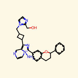 N[N+]12C=CN=CC1=C(C1CC(Cn3ccnc3CO)C1)N=C2c1ccc2c(c1)OC(c1ccccc1)CC2